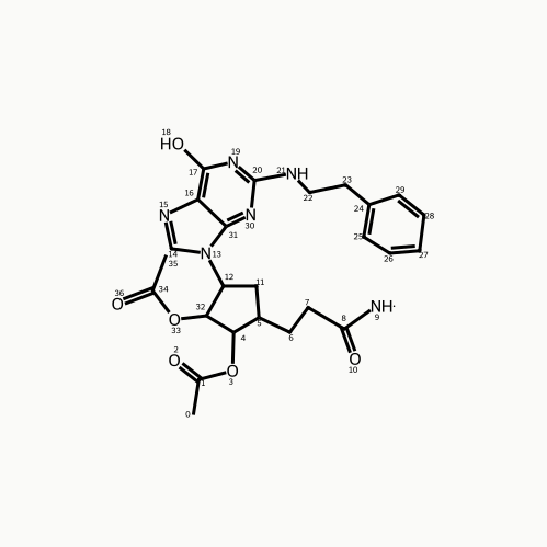 CC(=O)OC1C(CCC([NH])=O)CC(n2cnc3c(O)nc(NCCc4ccccc4)nc32)C1OC(C)=O